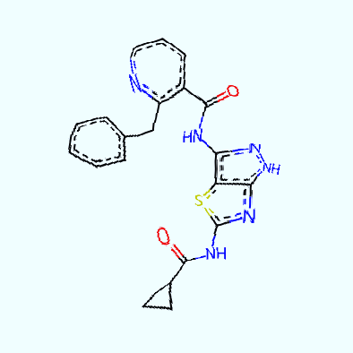 O=C(Nc1n[nH]c2nc(NC(=O)C3CC3)sc12)c1cccnc1Cc1ccccc1